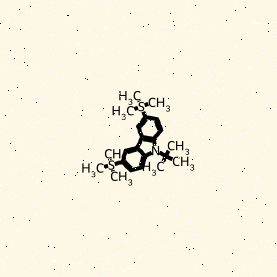 CC(C)(C)n1c2ccc(S(C)(C)C)cc2c2cc(S(C)(C)C)ccc21